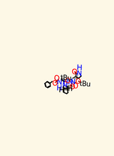 CC(C)(C)OC(=O)N(C[C@@H]1CCNC1=O)NC(=O)[C@@H]1[C@H]2CCC[C@H]2CN1C(=O)[C@@H](NC(=O)OCc1ccccc1)C(C)(C)C